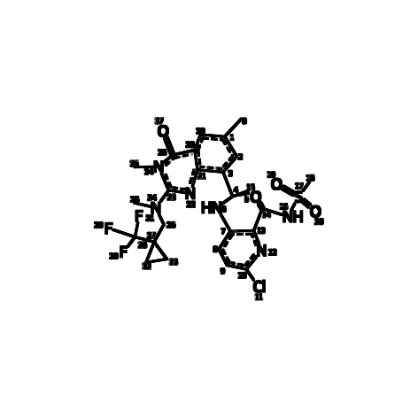 Cc1cc([C@@H](C)Nc2ccc(Cl)nc2C(=O)NS(C)(=O)=O)c2nc(N(C)CC3(C(F)(F)F)CC3)n(C)c(=O)c2c1